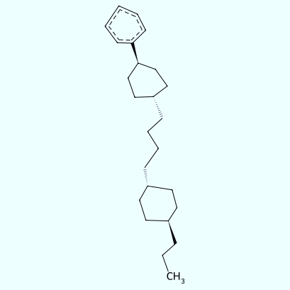 CCC[C@H]1CC[C@H](CCCC[C@H]2CC[C@H](c3ccccc3)CC2)CC1